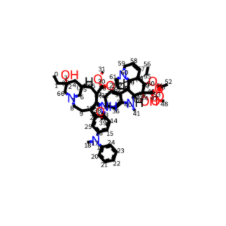 CC[C@]1(O)C[C@H]2CN(CCc3c([nH]c4ccc(N(C)c5ccccc5)cc34)[C@@](C(=O)OC)(C3C=C4C(=CC3OC)N(C)[C@H]3[C@@](O)(C(=O)OC)[C@H](OC(C)=O)[C@]5(CC)C=CCN6CC[C@]43[C@@H]65)C2)C1